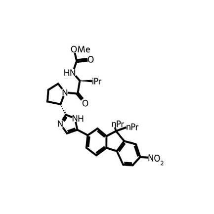 CCCC1(CCC)c2cc(-c3cnc([C@@H]4CCCN4C(=O)[C@@H](NC(=O)OC)C(C)C)[nH]3)ccc2-c2ccc([N+](=O)[O-])cc21